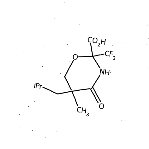 CC(C)CC1(C)COC(C(=O)O)(C(F)(F)F)NC1=O